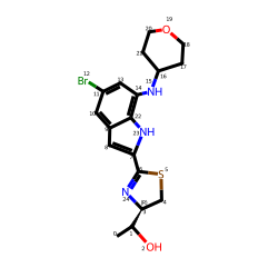 CC(O)[C@@H]1CSC(c2cc3cc(Br)cc(NC4CCOCC4)c3[nH]2)=N1